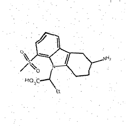 CCC(C(=O)O)n1c2c(c3cccc(S(C)(=O)=O)c31)CC(N)CC2